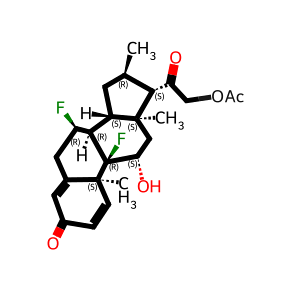 CC(=O)OCC(=O)[C@H]1[C@H](C)C[C@H]2[C@@H]3[C@H](F)CC4=CC(=O)C=C[C@]4(C)[C@@]3(F)[C@@H](O)C[C@@]21C